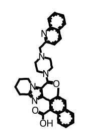 Cc1cc2ccccc2c(C(=O)O)c1-c1nc2n(c1C(=O)N1CCN(Cc3ccc4ccccc4n3)CC1)CCCC2